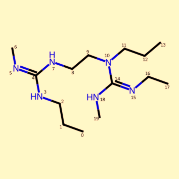 CCCN/C(=N/C)NCCN(CCC)/C(=N\CC)NC